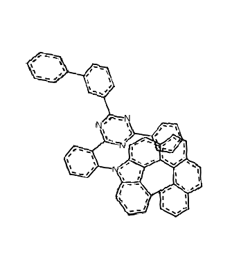 c1ccc(-c2cccc(-c3nc(-c4ccccc4)nc(-c4ccccc4-n4c5cccc6c5c5c7c(ccc8ccc9cccc-6c9c87)ccc54)n3)c2)cc1